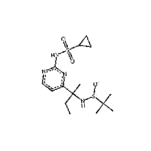 CCC(C)(N[S+]([O-])C(C)(C)C)c1ccnc(NS(=O)(=O)C2CC2)n1